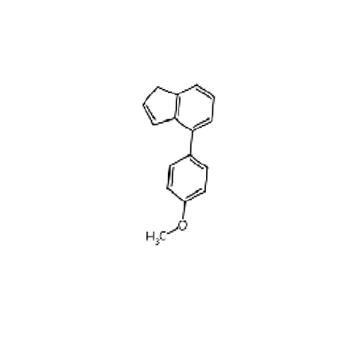 COc1ccc(-c2cccc3c2C=CC3)cc1